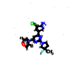 C[C@]1(F)CCN(c2nc(-c3cnc(N)c(Cl)c3)cc(N3C[C@@H]4C[C@H]3CO4)n2)C1